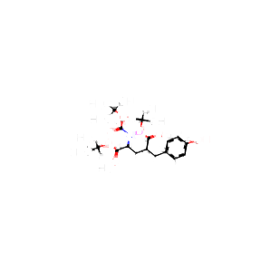 CC(C)(C)OC(=O)NC(CC(Cc1ccc(O)cc1)C(=O)OC(C)(C)C)C(=O)OC(C)(C)C